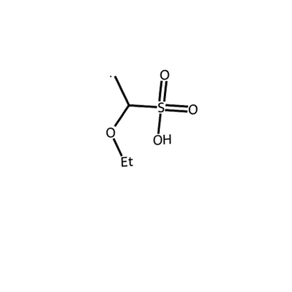 [CH2]C(OCC)S(=O)(=O)O